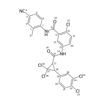 Cc1cc(C#N)ccc1NC(=O)c1cc(NC(=O)C2C(c3ccc(Cl)c(Cl)c3)C2(Cl)Cl)ccc1Cl